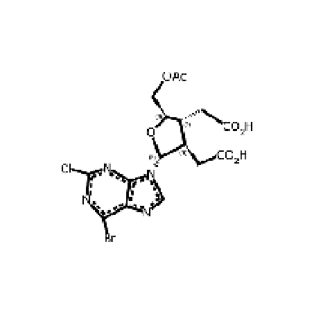 CC(=O)OC[C@@H]1O[C@@H](n2cnc3c(Br)nc(Cl)nc32)[C@H](CC(=O)O)[C@H]1CC(=O)O